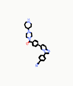 N#Cc1ccc(-c2cnc3ccc(-c4ccc(C(=O)N5CCN(C6CCCNCC6)CC5)cc4)cn23)cc1